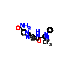 CC(C)(C)C1(CCNC(=O)c2cn(-c3ccccc3)nc2C(F)(F)F)CN2CC(C(N)=O)CCC2=N1